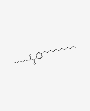 CCCCCCCCCCCCc1ccc(C(=O)C(=O)CCCCCC)cc1